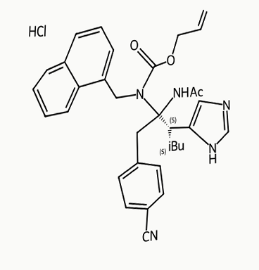 C=CCOC(=O)N(Cc1cccc2ccccc12)C(Cc1ccc(C#N)cc1)(NC(C)=O)[C@H](c1cnc[nH]1)[C@@H](C)CC.Cl